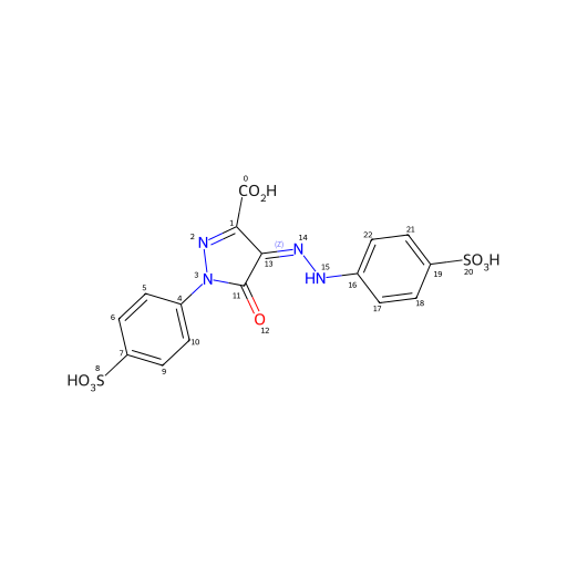 O=C(O)C1=NN(c2ccc(S(=O)(=O)O)cc2)C(=O)/C1=N\Nc1ccc(S(=O)(=O)O)cc1